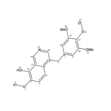 CCOc1ccc2c(Cc3cc(OC)c(OCC)c(OC)c3)cncc2c1O